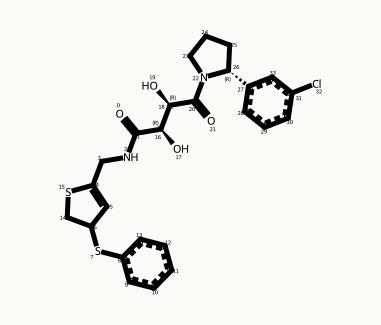 O=C(NCC1=CC(Sc2ccccc2)CS1)[C@H](O)[C@@H](O)C(=O)N1CCC[C@@H]1c1cccc(Cl)c1